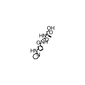 C#C[C@H](CC(=O)O)NC(=O)CNC(=O)c1cccc(NC2=NCCCCC2)c1